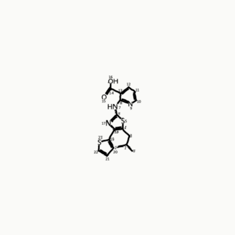 CC(C)Cc1sc(Nc2ncccc2C(=O)O)nc1-c1cccs1